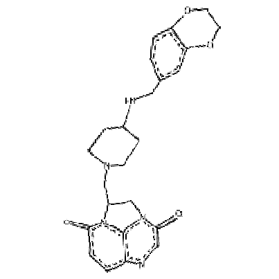 O=c1cnc2ccc(=O)n3c2n1CC3CN1CCC(NCc2ccc3c(c2)OCCO3)CC1